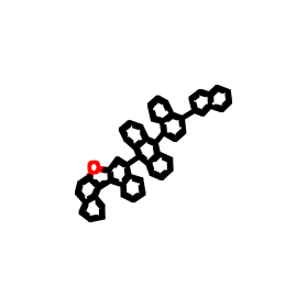 c1ccc2cc(-c3ccc(-c4c5ccccc5c(-c5cc6oc7ccc8ccccc8c7c6c6ccccc56)c5ccccc45)c4ccccc34)ccc2c1